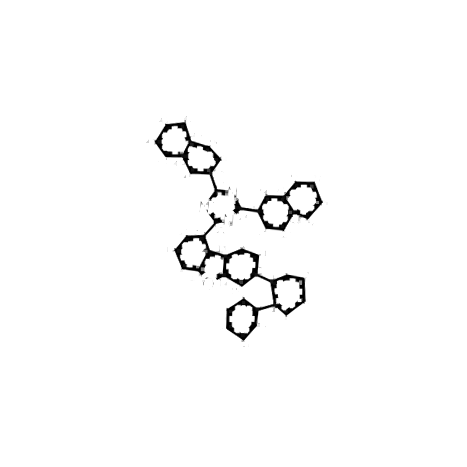 c1ccc(-c2ccccc2-c2ccc3c(c2)oc2cccc(-c4nc(-c5ccc6ccccc6c5)nc(-c5ccc6ccccc6c5)n4)c23)cc1